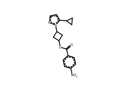 O=C(OC1CC(n2nccc2C2CC2)C1)c1ccc([N+](=O)[O-])cc1